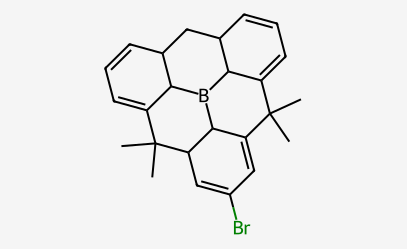 CC1(C)C2=CC=CC3CC4C=CC=C5C4B(C23)C2C1=CC(Br)=CC2C5(C)C